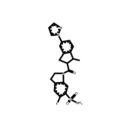 CC1c2ccc(-n3cccn3)cc2CC1C(=O)N1CCc2cc(F)c(S(N)(=O)=O)cc21